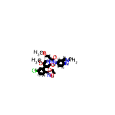 COCCC(C(=O)Nc1ccc2nn(C)cc2c1)n1cc(OC)c(-c2cc(Cl)ccc2C2=NOCCO2)cc1=O